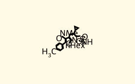 CCCCCCNS(=O)(=O)Cc1nc2oc(-c3ccc(C)cc3)c(C(=O)NC)c2cc1C1CC1